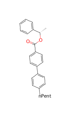 CCCCCc1ccc(-c2ccc(C(=O)O[C@@H](C)c3ccccc3)cc2)cc1